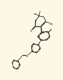 Cc1ccc(-c2ccc(OCc3ccccc3)cc2)cc1C1=C(O)CC(C)(C)CC1=O